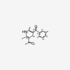 CC(=O)C1=C(C)NC(C)=C(C(=O)c2ccccc2)C1